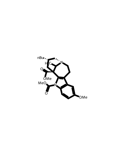 CCCC[C@@H]1C[N@]2CCc3c(n(C(=O)OC)c4ccc(OC)cc34)[C@](C(=O)OC)(C1)C2C